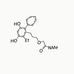 CCc1c(O)cc(O)c(-c2ccccc2)c1CCCOCC(=O)NC